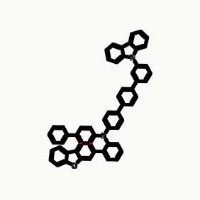 c1ccc(-c2ccc(N(c3ccc(-c4ccc(-c5cccc(-n6c7ccccc7c7ccccc76)c5)cc4)cc3)c3ccccc3-c3ccc4c(c3)oc3ccccc34)cc2)cc1